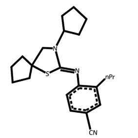 CCCc1cc(C#N)ccc1N=C1SC2(CCCC2)CN1C1CCCC1